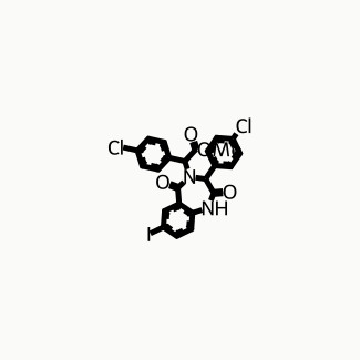 COC(=O)C(c1ccc(Cl)cc1)N1C(=O)c2cc(I)ccc2NC(=O)C1c1ccc(Cl)cc1